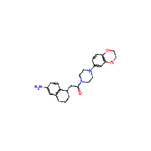 Nc1ccc2c(c1)CCCC2CC(=O)N1CCN(c2ccc3c(c2)OCCO3)CC1